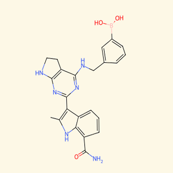 Cc1[nH]c2c(C(N)=O)cccc2c1-c1nc2c(c(NCc3cccc(B(O)O)c3)n1)CCN2